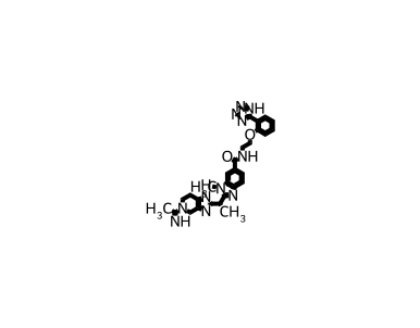 CC(=N)N1CCc2[nH]c(C(C)c3nc4ccc(C(=O)NCCOc5ccccc5-c5nnn[nH]5)cc4n3C)nc2C1